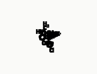 COc1ccc2[nH]c(C)c(OC(C)=O)c2c1C(=O)c1ccc(Cl)cc1.O.O.O.[K]